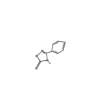 Cn1c(-c2ccccc2)noc1=O